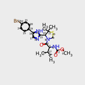 COC(=O)NC(C(=O)N1CSC(C)(C)C1c1ncc(-c2ccc(Br)cc2)[nH]1)C(C)C